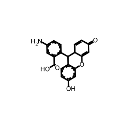 Nc1ccc(C2c3ccc(O)cc3OC3=CC(=O)C=CC32)c(C(=O)O)c1